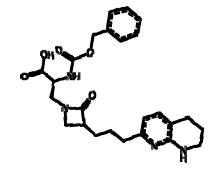 O=C(N[C@@H](CN1CC(CCCc2ccc3c(n2)NCCC3)C1=O)C(=O)O)OCc1ccccc1